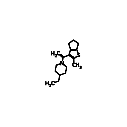 C=C(c1c(C)sc2c1CCC2)N1CCC(CC)CC1